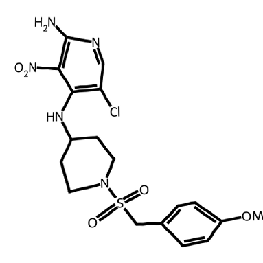 COc1ccc(CS(=O)(=O)N2CCC(Nc3c(Cl)cnc(N)c3[N+](=O)[O-])CC2)cc1